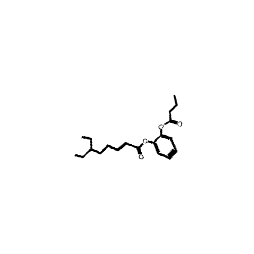 CCCC(=O)Oc1ccccc1OC(=O)CCCCC(CC)CC